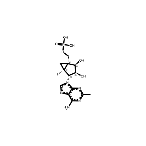 Cc1nc(N)c2ncn([C@H]3[C@H](O)[C@H](O)[C@]4(COP(=O)(O)O)C[C@H]34)c2n1